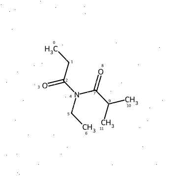 CCC(=O)N(CC)C(=O)C(C)C